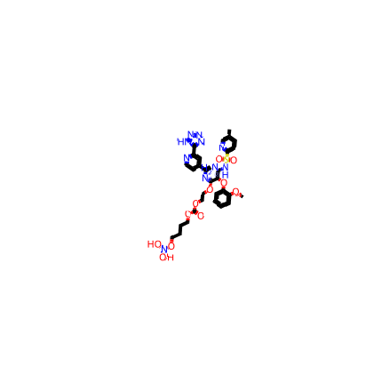 C=C(/N=C(OCCOC(=O)OCCCCON(O)O)\C(Oc1ccccc1OC)=C(/N)NS(=O)(=O)c1ccc(C)cn1)c1ccnc(-c2nnn[nH]2)c1